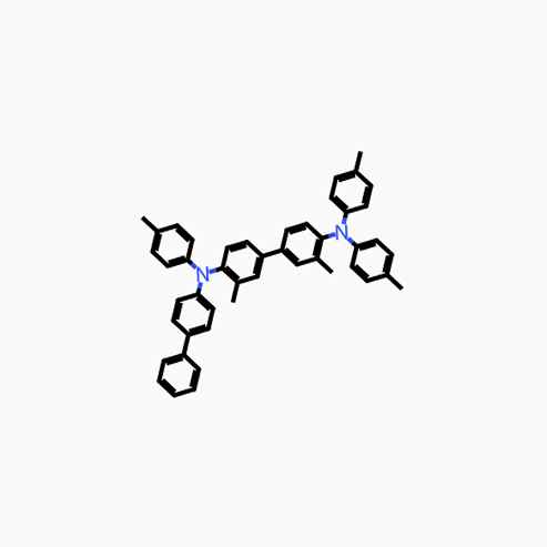 Cc1ccc(N(c2ccc(C)cc2)c2ccc(-c3ccc(N(c4ccc(C)cc4)c4ccc(-c5ccccc5)cc4)c(C)c3)cc2C)cc1